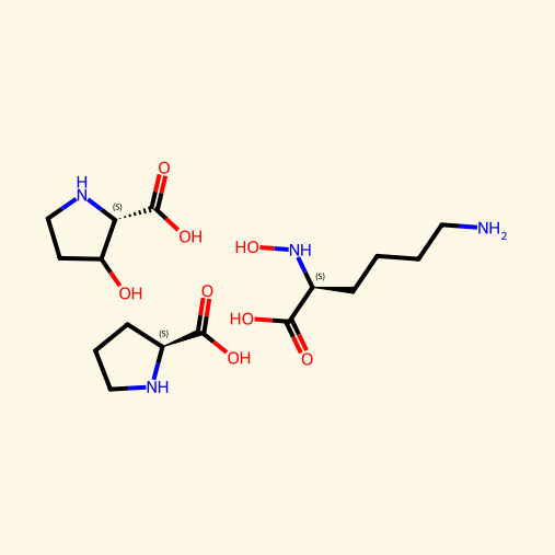 NCCCC[C@H](NO)C(=O)O.O=C(O)[C@@H]1CCCN1.O=C(O)[C@H]1NCCC1O